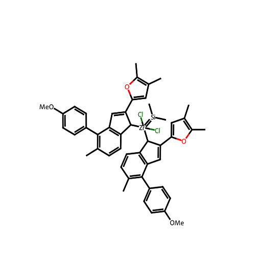 COc1ccc(-c2c(C)ccc3c2C=C(c2cc(C)c(C)o2)[CH]3[Zr]([Cl])([Cl])([CH]2C(c3cc(C)c(C)o3)=Cc3c2ccc(C)c3-c2ccc(OC)cc2)=[Si](C)C)cc1